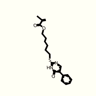 C=C(C)C(=O)OCCCCCCSc1ncc(-c2ccccc2)c(=O)[nH]1